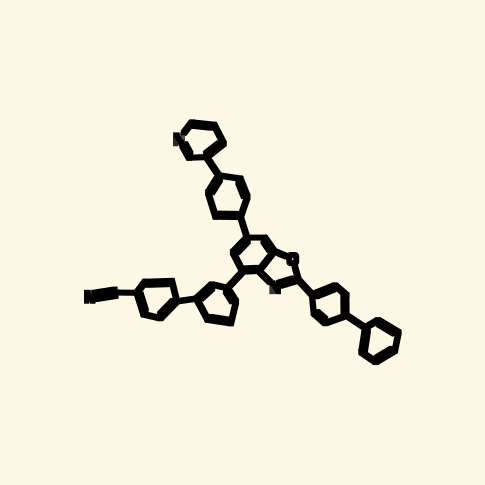 N#Cc1ccc(-c2cccc(-c3cc(-c4ccc(-c5cccnc5)cc4)cc4oc(-c5ccc(-c6ccccc6)cc5)nc34)c2)cc1